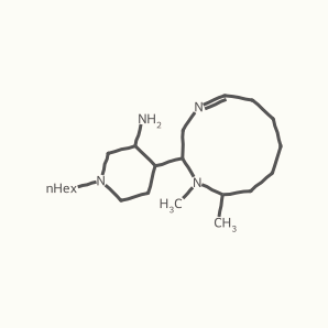 CCCCCCN1CCC(C2C/N=C\CCCCCC(C)N2C)C(N)C1